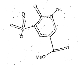 COC(=O)c1cc(S(=O)(=O)Cl)c(=O)n(C)c1